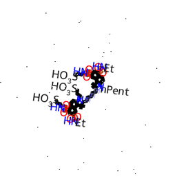 CCCCCN1/C(=C/C=C/C=C/C2=[N+](CCCS(=O)(=O)O)c3ccc4c(S(=O)(=O)NCCS(=O)(=O)O)cc(S(=O)(=O)NCC)cc4c3C2(C)C)C(C)(C)c2c1ccc1c(S(=O)(=O)NCC)cc(S(=O)(=O)NCCS(=O)(=O)O)cc21